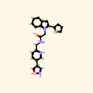 O=C(Cn1c(-c2cccs2)cc2ccccc21)NCc1ccc(-c2cnoc2)cn1